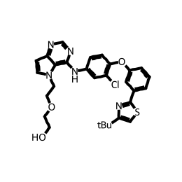 CC(C)(C)c1csc(-c2cccc(Oc3ccc(Nc4ncnc5ccn(CCOCCO)c45)cc3Cl)c2)n1